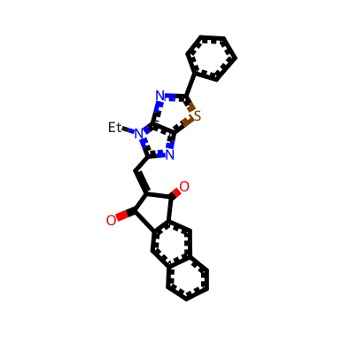 CCn1c(C=C2C(=O)c3cc4ccccc4cc3C2=O)nc2sc(-c3ccccc3)nc21